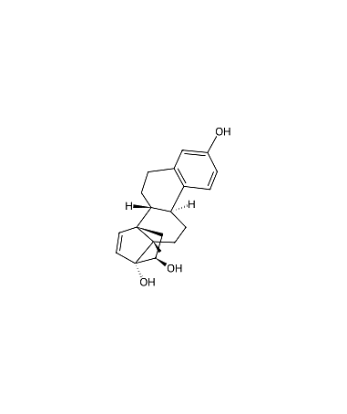 C[C@]12CC[C@@H]3c4ccc(O)cc4CC[C@H]3[C@@]13C=C[C@]2(O)[C@H](O)C3